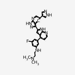 CN(C)CCNc1cc(F)cc(-c2ccnc3[nH]c(-c4n[nH]c5ncc(-c6cn[nH]c6)cc45)cc23)c1